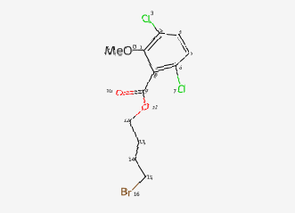 COc1c(Cl)ccc(Cl)c1C(=O)OCCCCBr